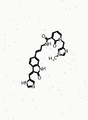 Cn1cnc(Cn2cccc(C(=O)NCC=Cc3ccc4c(c3)NC(=O)C4=Cc3cnc[nH]3)c2=O)c1